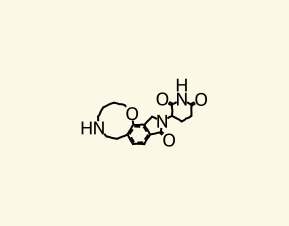 O=C1CCC(N2Cc3c(ccc4c3OCCCCNCC4)C2=O)C(=O)N1